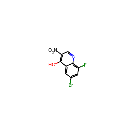 O=[N+]([O-])c1cnc2c(F)cc(Br)cc2c1O